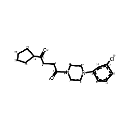 O=C(CCC(=O)N1CCN(c2cccc(Cl)c2)CC1)C1CCCC1